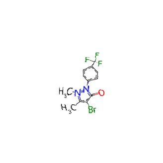 Cc1c(Br)c(=O)n(-c2ccc(C(F)(F)F)cc2)n1C